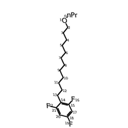 CCCOCCCCCCCCCCCCc1c(F)cc(F)cc1F